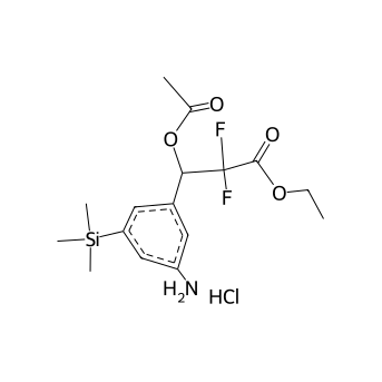 CCOC(=O)C(F)(F)C(OC(C)=O)c1cc(N)cc([Si](C)(C)C)c1.Cl